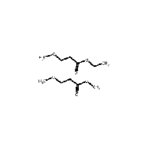 CCOC(=O)CCOC.COCCC(=O)OC